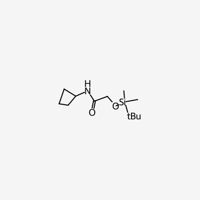 CC(C)(C)[Si](C)(C)OCC(=O)NC1CCC1